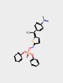 CN(C)c1ccc(C(C#N)=C2C=CC(=NOP(=O)(Oc3ccccc3)Oc3ccccc3)S2)cc1